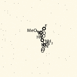 COCCn1cc(-c2ccc(F)cc2)c(=O)c(C(=O)Nc2ccc(-c3nn(C4CCOCC4)c4ncnc(N)c34)cc2)n1